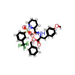 COc1ccc(CC(NC(=O)C2CCCCN2S(=O)(=O)c2cccc(C(F)(F)F)c2)C(=O)OCc2ccccc2)cc1